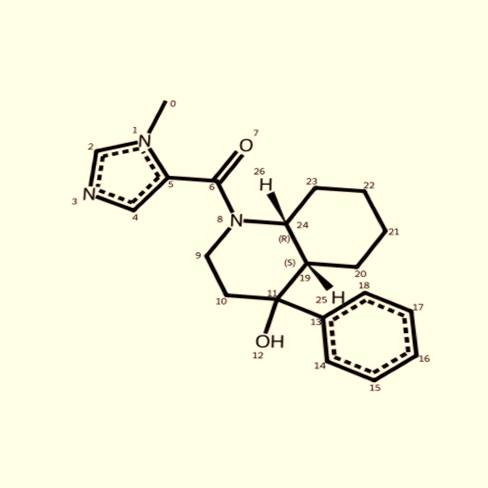 Cn1cncc1C(=O)N1CCC(O)(c2ccccc2)[C@H]2CCCC[C@H]21